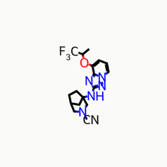 CC(Oc1cccn2nc(NC34CCC(CN(C#N)C3)C4)nc12)C(F)(F)F